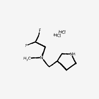 CN(CC(F)F)CC1CCNC1.Cl.Cl